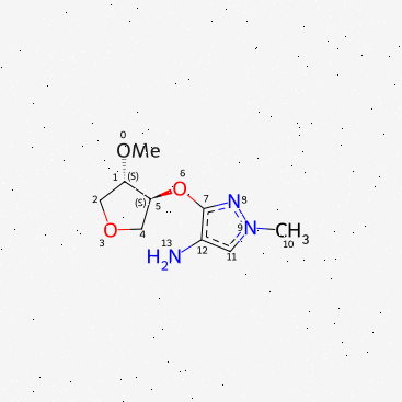 CO[C@H]1COC[C@@H]1Oc1nn(C)cc1N